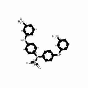 Nc1cccc(Oc2ccc(N(c3ccc(Oc4cccc(N)c4)cc3)[SH](=O)=O)cc2)c1